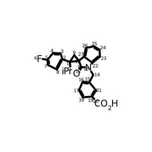 CC(C)C1(c2ccc(F)cc2)CC12C(=O)N(Cc1cccc(C(=O)O)c1)c1ccccc12